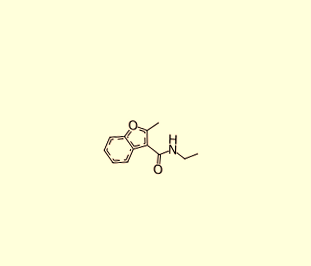 CCNC(=O)c1c(C)oc2ccccc12